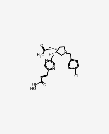 CC(=O)O.O=C(C=Cc1cnc(N[C@@H]2CCN(Cc3ccc(Cl)cc3)C2)cn1)NO